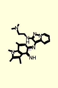 CC1=C/C(=N\c2c(NCCN(C)C)nn3ccccc23)C(=N)c2c(C)c(C)n(C)c21